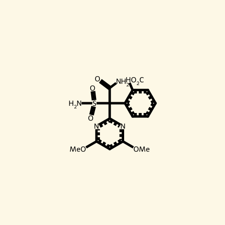 COc1cc(OC)nc(C(C(N)=O)(c2ccccc2C(=O)O)S(N)(=O)=O)n1